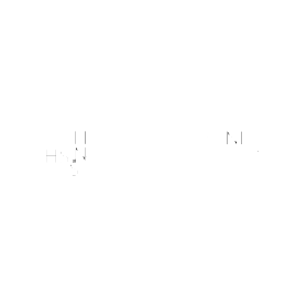 NCCCCCCCCCCCCCCCCCCNC(=S)S